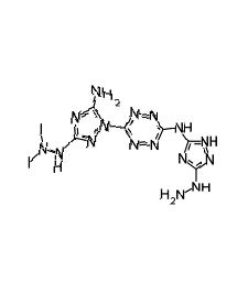 NNc1n[nH]c(Nc2nnc(-n3nc(NN(I)I)nc3N)nn2)n1